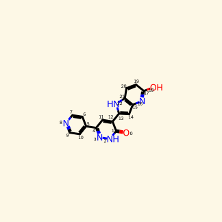 O=c1[nH]nc(-c2ccncc2)cc1-c1cc2nc(O)ccc2[nH]1